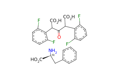 N[C@@H](Cc1ccccc1)C(=O)O.O=C(O)C(C(=O)C(C(=O)O)c1c(F)cccc1F)c1c(F)cccc1F